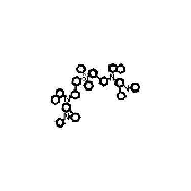 c1ccc(-n2c3ccccc3c3cc(N(c4cccc(-c5cccc([Si](c6ccccc6)(c6ccccc6)c6cccc(-c7cccc(N(c8ccc9c(c8)c8ccccc8n9-c8ccccc8)c8cccc9ccccc89)c7)c6)c5)c4)c4cccc5ccccc45)ccc32)cc1